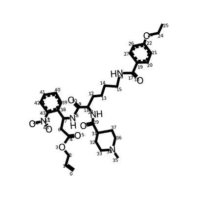 C=CCOC(=O)CC(NC(=O)C(CCCCNC(=O)c1ccc(OCC)cc1)NC(=O)C1CCN(C)CC1)c1ccccc1[N+](=O)[O-]